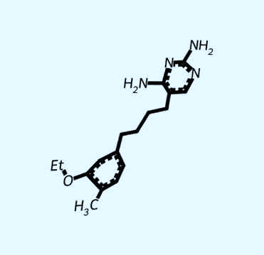 CCOc1cc(CCCCc2cnc(N)nc2N)ccc1C